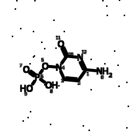 Nc1ccn(OP(=O)(O)O)c(=O)n1